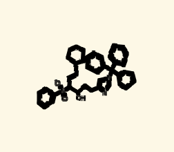 O=S(=O)(c1ccccc1)C(CCC1CCCCC1)C(O)CCc1cn(C(c2ccccc2)(c2ccccc2)c2ccccc2)cn1